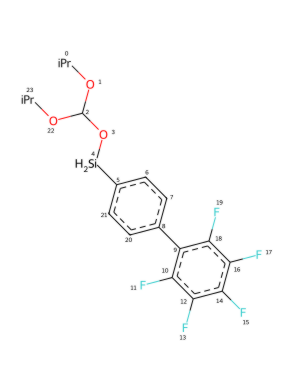 CC(C)OC(O[SiH2]c1ccc(-c2c(F)c(F)c(F)c(F)c2F)cc1)OC(C)C